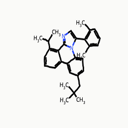 Cc1cccc(C)c1-c1cnc2c3c(C(C)C)cccc3c3cc(CC(C)(C)C)ccc3n12